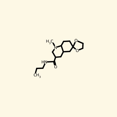 CCCNC(=O)C1CC2CC3(CCC2N(C)C1)OCCO3